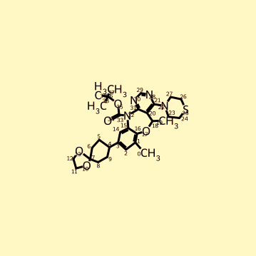 Cc1cc(C2CCC3(CC2)OCCO3)cc2c1OC(C)c1c(N3CCSCC3)ncnc1N2C(=O)OC(C)(C)C